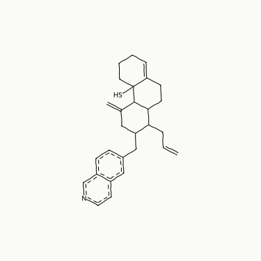 C=CCC1C(Cc2ccc3cnccc3c2)CC(=C)C2C1CCC1=CCCCC12S